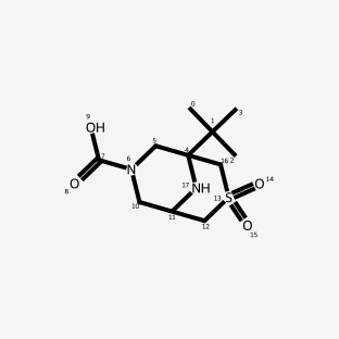 CC(C)(C)C12CN(C(=O)O)CC(CS(=O)(=O)C1)N2